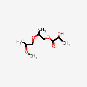 COC(C)COC(C)COC(=O)C(C)O